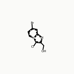 OCc1nc2cc(Br)ccn2c1Cl